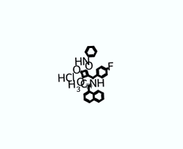 C[C@@H](NC(c1ccc(F)cc1)c1c(ONc2ccccc2)c(=O)c1=O)c1cccc2ccccc12.Cl